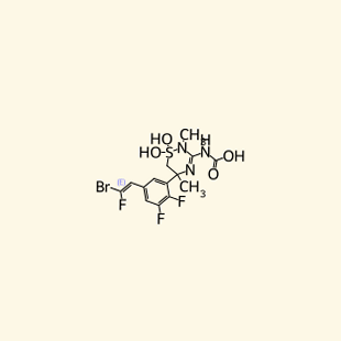 CN1C(NC(=O)O)=NC(C)(c2cc(/C=C(\F)Br)cc(F)c2F)CS1(O)O